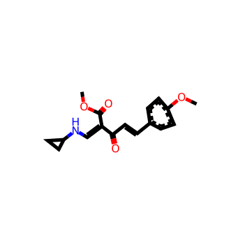 COC(=O)C(=CNC1CC1)C(=O)C=Cc1ccc(OC)cc1